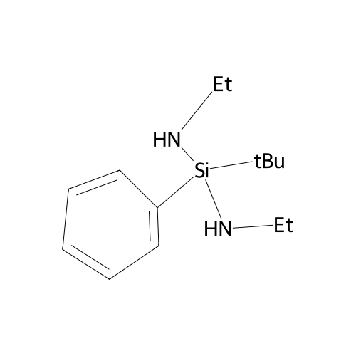 CCN[Si](NCC)(c1ccccc1)C(C)(C)C